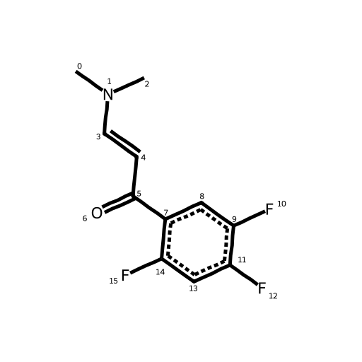 CN(C)C=CC(=O)c1cc(F)c(F)cc1F